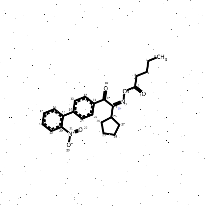 CCCCC(=O)O/N=C(\C(=O)c1ccc(-c2ccccc2[N+](=O)[O-])cc1)C1CCCC1